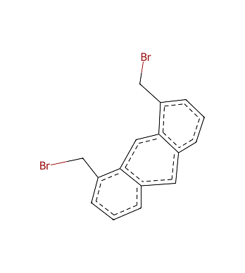 BrCc1cccc2cc3cccc(CBr)c3cc12